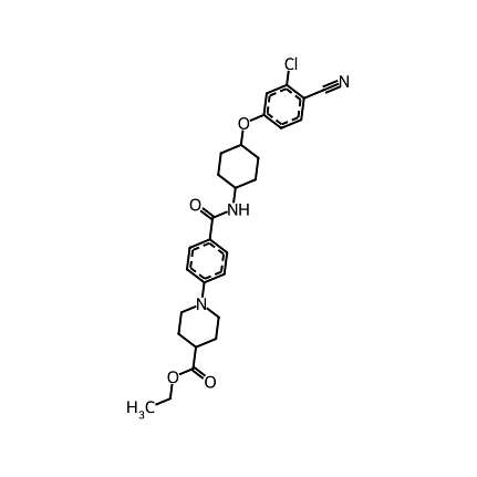 CCOC(=O)C1CCN(c2ccc(C(=O)NC3CCC(Oc4ccc(C#N)c(Cl)c4)CC3)cc2)CC1